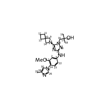 COc1cc(Nc2nc(N3CC4(CCC4)C3)n(CC(C)(C)O)n2)ccc1-n1cnc(C)c1